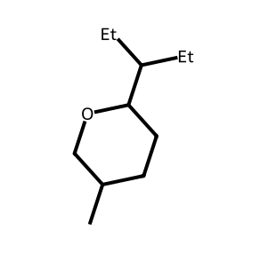 CCC(CC)C1CCC(C)CO1